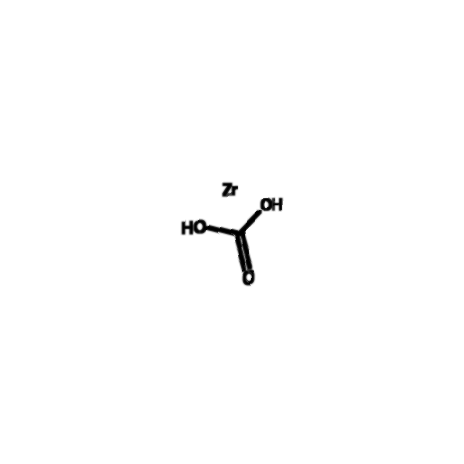 O=C(O)O.[Zr]